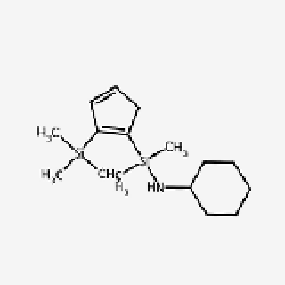 C[Si](C)(C)C1=C([Si](C)(C)NC2CCCCC2)CC=C1